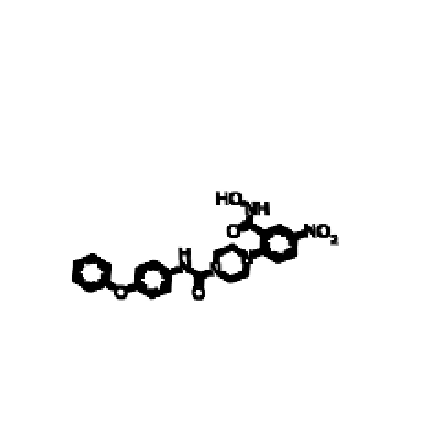 O=C(NO)c1cc([N+](=O)[O-])ccc1N1CCN(C(=O)Nc2ccc(Oc3ccccc3)cc2)CC1